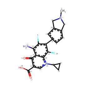 CN1Cc2ccc(-c3c(F)c(N)c4c(=O)c(C(=O)O)cn(C5CC5)c4c3F)cc2C1